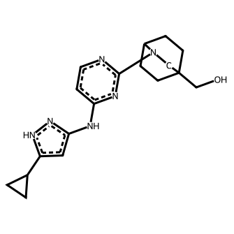 OCC12CCC(CC1)N(c1nccc(Nc3cc(C4CC4)[nH]n3)n1)C2